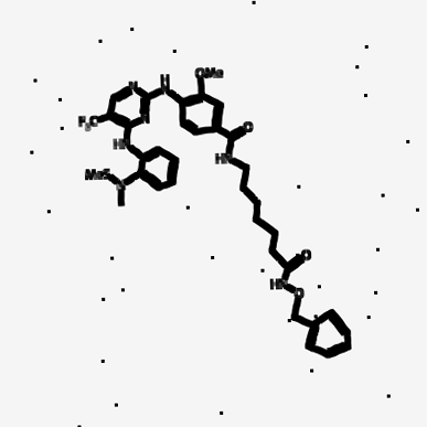 COc1cc(C(=O)NCCCCCCC(=O)NOCc2ccccc2)ccc1Nc1ncc(C(F)(F)F)c(Nc2ccccc2N(C)SC)n1